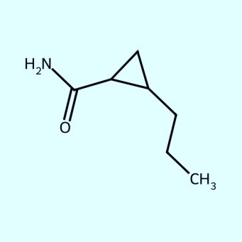 CCCC1CC1C(N)=O